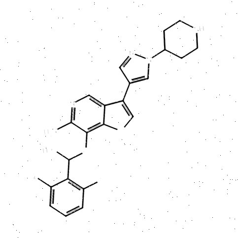 CC(Oc1c(N)ncc2c(-c3cnn(C4CCNCC4)c3)coc12)c1c(Cl)cccc1Br